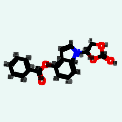 O=C1OCC(n2ccc3c(OC(=O)c4ccccc4)cccc32)O1